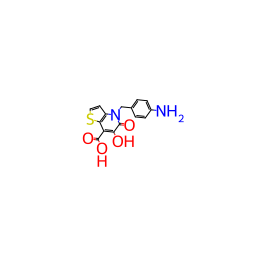 Nc1ccc(Cn2c(=O)c(O)c(C(=O)O)c3sccc32)cc1